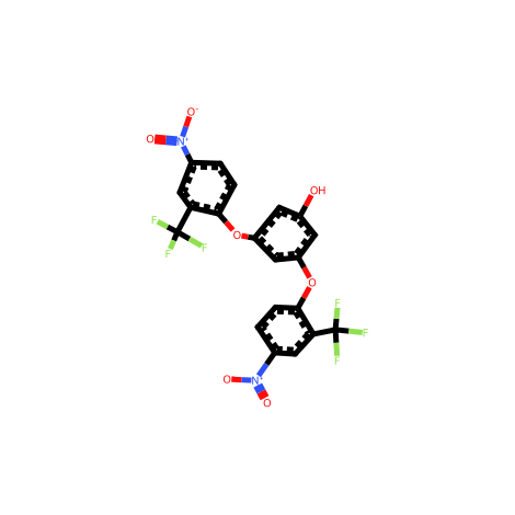 O=[N+]([O-])c1ccc(Oc2cc(O)cc(Oc3ccc([N+](=O)[O-])cc3C(F)(F)F)c2)c(C(F)(F)F)c1